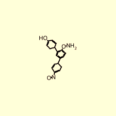 NOc1ccc(C2C=CC(N=O)=CC2)cc1C1C=CC(O)=CC1